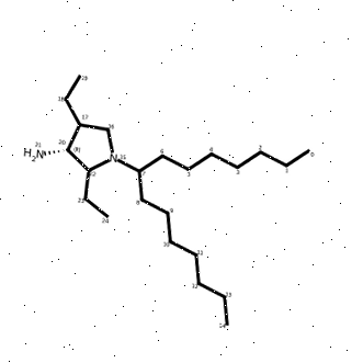 CCCCCCCC(CCCCCCC)N1CC(CC)[C@@H](N)C1CC